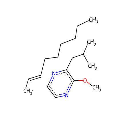 COc1nccnc1CC(C)C.[CH2]C=CCCCCCC